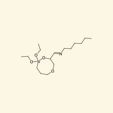 CCCCCCN=CC1COCCC[Si](OCC)(OCC)O1